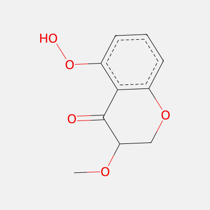 COC1COc2cccc(OO)c2C1=O